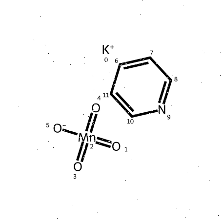 [K+].[O]=[Mn](=[O])(=[O])[O-].c1ccncc1